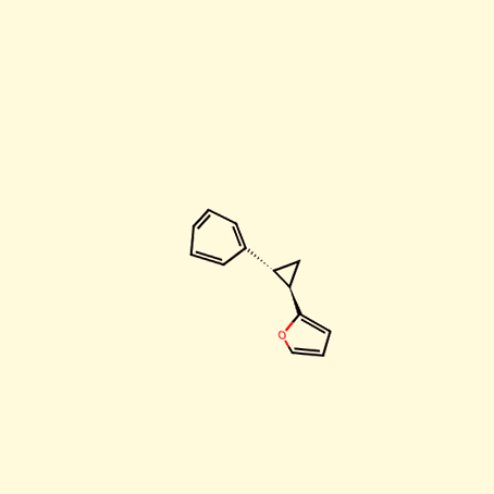 c1ccc([C@@H]2C[C@H]2c2ccco2)cc1